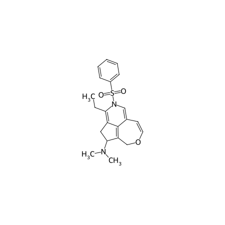 CCC1=C2CC(N(C)C)C3=C2C(=CN1S(=O)(=O)c1ccccc1)C=COC3